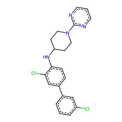 Clc1cccc(-c2ccc(NC3CCN(c4ncccn4)CC3)c(Cl)c2)c1